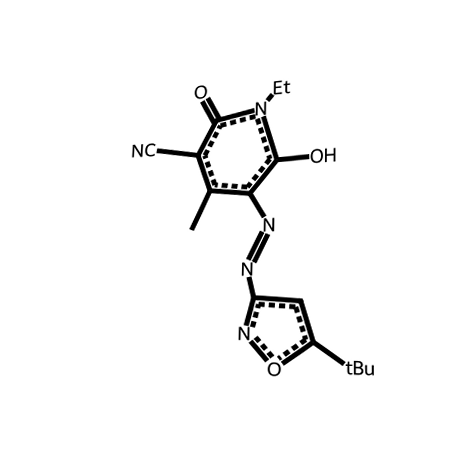 CCn1c(O)c(N=Nc2cc(C(C)(C)C)on2)c(C)c(C#N)c1=O